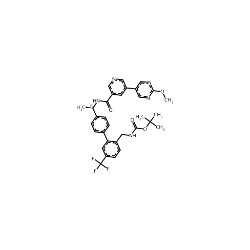 COc1ncc(-c2cncc(C(=O)N[C@H](C)c3ccc(-c4cc(C(F)(F)F)ccc4CNC(=O)OC(C)(C)C)cc3)c2)cn1